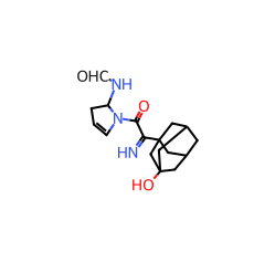 N=C(C(=O)N1C=CCC1NC=O)C12CC3CC(CC(O)(C3)C1)C2